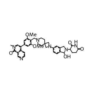 COc1cc(-c2cn(C)c(=O)c3cnccc23)cc(OC)c1CN1CCC2(CC1)CN(c1ccc3c(c1)CN(C1CCC(=O)NC1=O)C3O)C2